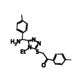 CCn1c(SCC(=O)c2ccc(C)cc2)nnc1C(N)c1ccc(C)cc1